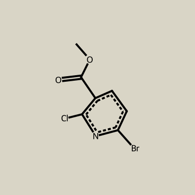 COC(=O)c1ccc(Br)nc1Cl